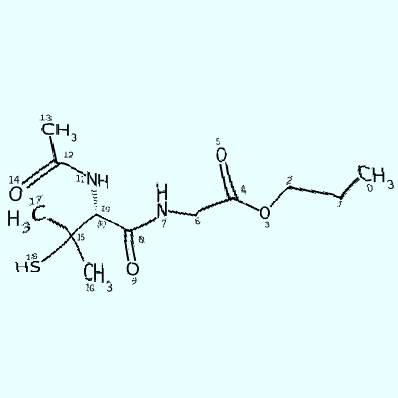 CCCOC(=O)CNC(=O)[C@@H](NC(C)=O)C(C)(C)S